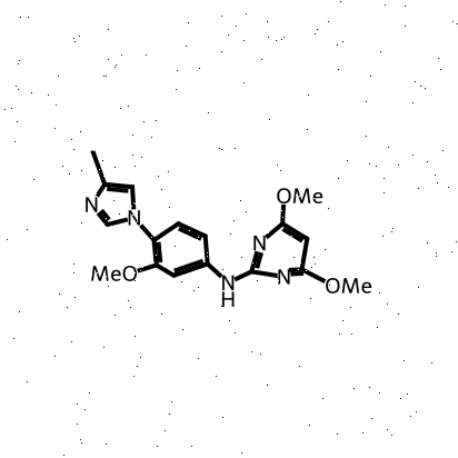 COc1cc(OC)nc(Nc2ccc(-n3cnc(C)c3)c(OC)c2)n1